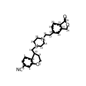 N#Cc1ccc2c(c1)OCCC2CN1CCN(CCc2ccc3c(c2)COC3=O)CC1